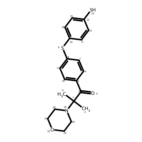 CC(C)(C(=O)c1ccc(Sc2ccc(S)cc2)cc1)N1CCOCC1